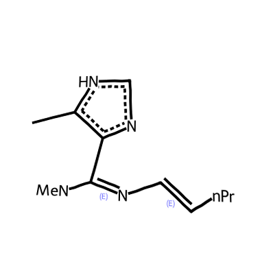 CCC/C=C/N=C(/NC)c1nc[nH]c1C